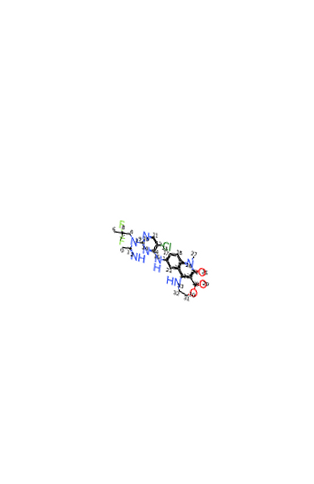 CC(=N)N(CC(C)(F)F)c1ncc(Cl)c(Nc2ccc3c(c2)c2c(c(=O)n3C)C(=O)OCCN2)n1